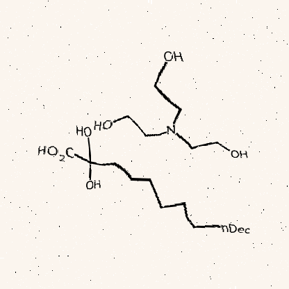 CCCCCCCCCCCCCCCCC(O)(O)C(=O)O.OCCN(CCO)CCO